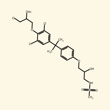 CC(=O)OC(CCl)COc1c(Cl)cc(C(C)(C)c2ccc(OCC(O)CNS(C)(=O)=O)cc2)cc1Cl